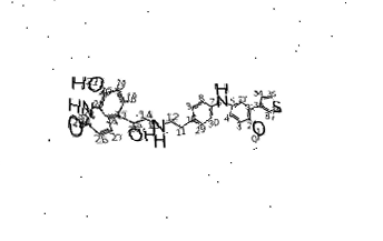 COc1ccc(Nc2ccc(CCNC[C@H](O)c3ccc(O)c4[nH]c(=O)ccc34)cc2)cc1-c1ccsc1